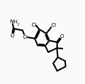 CC1(C2CCCC2)Cc2cc(OCC(N)=O)c(Cl)c(Cl)c2C1=O